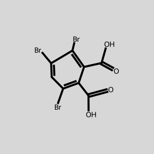 O=C(O)c1c(Br)cc(Br)c(Br)c1C(=O)O